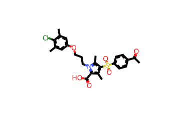 CC(=O)c1ccc(S(=O)(=O)c2c(C)c(C(=O)O)n(CCCOc3cc(C)c(Cl)c(C)c3)c2C)cc1